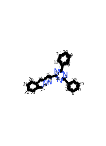 c1ccc(-c2nc(-c3ccccc3)nc(-c3cc4cc5ccccc5cn4n3)n2)cc1